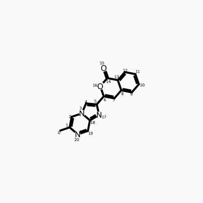 Cc1cn2cc(-c3cc4ccccc4c(=O)o3)nc2cn1